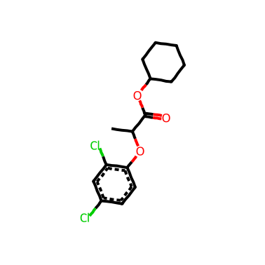 CC(Oc1ccc(Cl)cc1Cl)C(=O)OC1CCCCC1